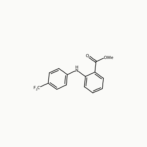 COC(=O)c1ccccc1Nc1ccc(C(F)(F)F)cc1